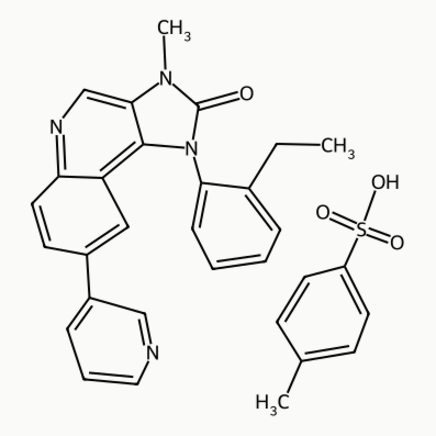 CCc1ccccc1-n1c(=O)n(C)c2cnc3ccc(-c4cccnc4)cc3c21.Cc1ccc(S(=O)(=O)O)cc1